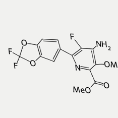 COC(=O)c1nc(-c2ccc3c(c2)OC(F)(F)O3)c(F)c(N)c1OC